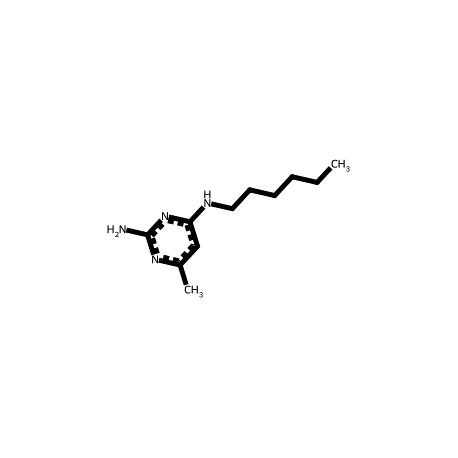 CCCCCCNc1cc(C)nc(N)n1